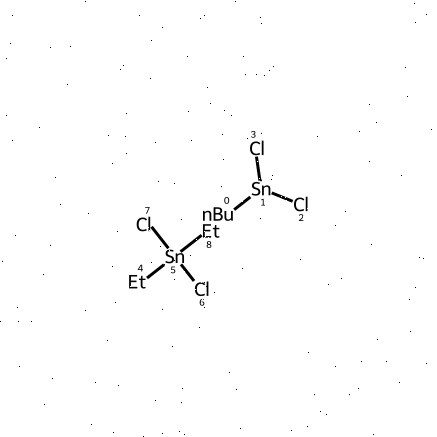 CCC[CH2][Sn]([Cl])[Cl].C[CH2][Sn]([Cl])([Cl])[CH2]C